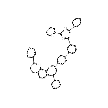 c1ccc(-c2ccc3ccc4c(-c5ccccc5)cc(-c5ccc(-c6cccc(-c7nc(-c8ccccc8)nc(-c8ccccn8)n7)c6)cc5)nc4c3n2)cc1